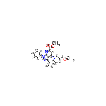 COCC1CCCN(c2cc(C(=O)OC)nc3c2c(C2CCC2)nn3-c2ccccc2)C1